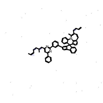 C=C/C=C\C1=C(C)N2c3ccccc3C3(c4ccccc4-c4ccc(-c5cccc(-c6nc(/C=C(C)/C=C\C=C/C)cc(-c7ccccc7)n6)c5)cc43)c3cccc(c32)C=C1